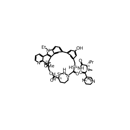 CCn1c(-c2cccnc2[C@H](C)OC)c2c3cc(ccc31)-c1cc(O)cc(c1)C[Si@H](NC(=O)[C@H](C(C)C)N(C)C(=O)C1CN3CCCN1CC3)C(=O)N1CCC[C@H]([SiH2]N1)C(=O)OCC(C)(C)C2